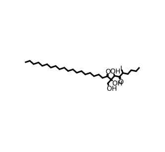 CCCCCCCCCCCCCCCCCCCC(=O)C(O)(CO)C(O)C(=O)C(I)CCCC